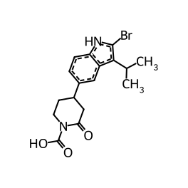 CC(C)c1c(Br)[nH]c2ccc(C3CCN(C(=O)O)C(=O)C3)cc12